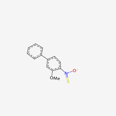 COc1cc(-c2ccccc2)ccc1[N+]([O-])=S